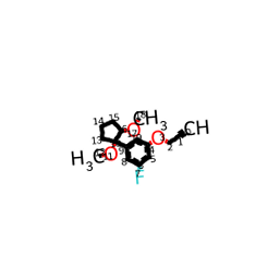 C#CCOc1cc(F)cc(C2(OC)CCCC2OC)c1